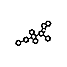 c1ccc(-c2ccc(-c3c4ccccc4c(-c4cc(-c5ccccc5)c5oc6c7ccccc7ccc6c5c4)c4ccccc34)cc2)cc1